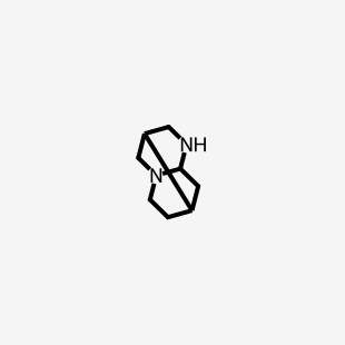 C1CN2CC3CNC2CC13